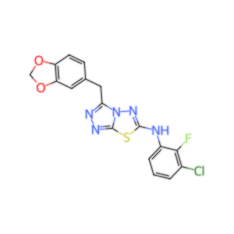 Fc1c(Cl)cccc1Nc1nn2c(Cc3ccc4c(c3)OCO4)nnc2s1